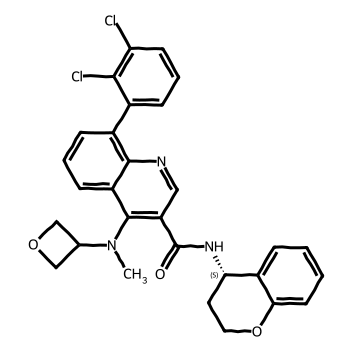 CN(c1c(C(=O)N[C@H]2CCOc3ccccc32)cnc2c(-c3cccc(Cl)c3Cl)cccc12)C1COC1